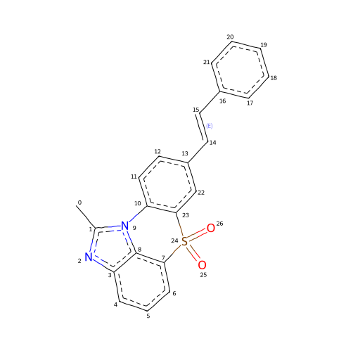 Cc1nc2cccc3c2n1-c1ccc(/C=C/c2ccccc2)cc1S3(=O)=O